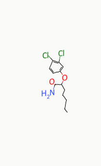 CCCCCC(Oc1ccc(Cl)c(Cl)c1)C(N)=O